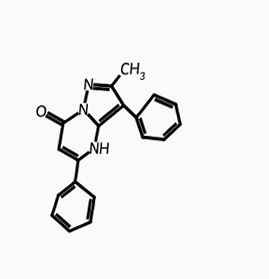 Cc1nn2c(=O)cc(-c3ccccc3)[nH]c2c1-c1ccccc1